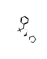 CC(C)(C)[C@H](NC(=O)[C@H]1CCCO1)c1ccccc1